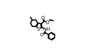 CCOC(=O)c1c(NC(=O)c2ccccc2)sc2c1CC(C)CC2